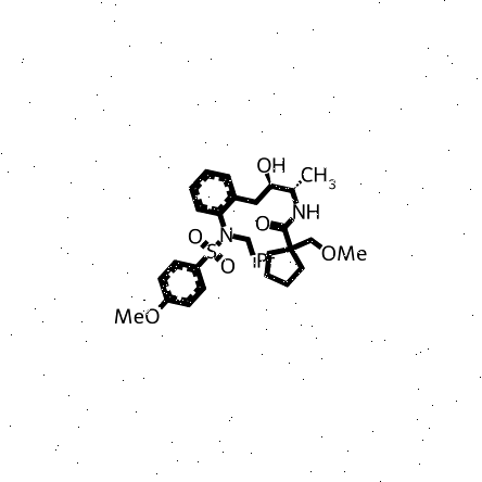 COCC1(C(=O)N[C@@H](C)[C@H](O)Cc2ccccc2N(CC(C)C)S(=O)(=O)c2ccc(OC)cc2)CCCC1